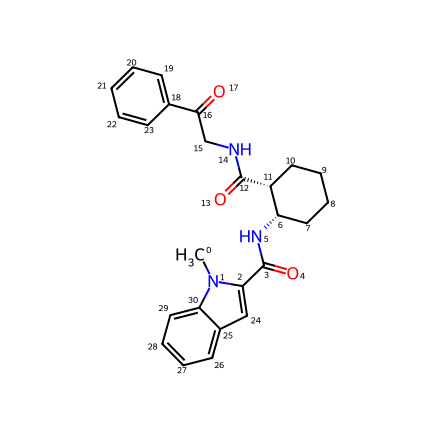 Cn1c(C(=O)N[C@H]2CCCC[C@H]2C(=O)NCC(=O)c2ccccc2)cc2ccccc21